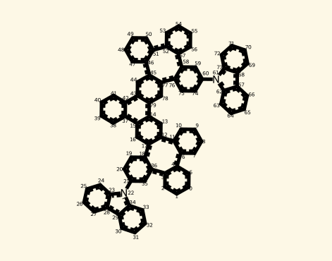 c1ccc2c(c1)c1ccccc1c1cc3c(cc1c1ccc(-n4c5ccccc5c5ccccc54)cc21)c1ccccc1c1cc2c4ccccc4c4ccccc4c4cc(-n5c6ccccc6c6ccccc65)ccc4c2cc13